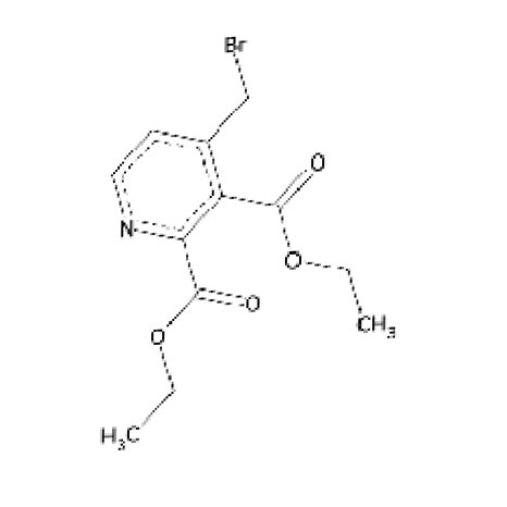 CCOC(=O)c1nccc(CBr)c1C(=O)OCC